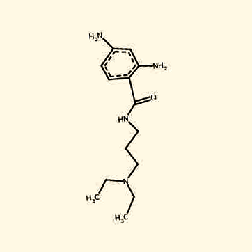 CCN(CC)CCCNC(=O)c1ccc(N)cc1N